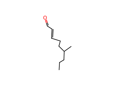 CCCC(C)CCC=CC=O